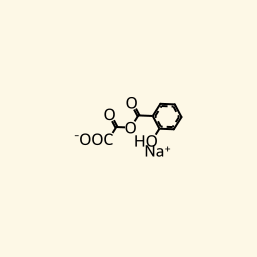 O=C([O-])C(=O)OC(=O)c1ccccc1O.[Na+]